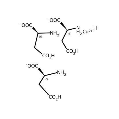 N[C@@H](CC(=O)O)C(=O)[O-].N[C@@H](CC(=O)O)C(=O)[O-].N[C@@H](CC(=O)O)C(=O)[O-].[Cu+2].[H+]